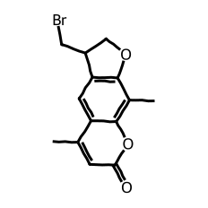 Cc1cc(=O)oc2c(C)c3c(cc12)C(CBr)CO3